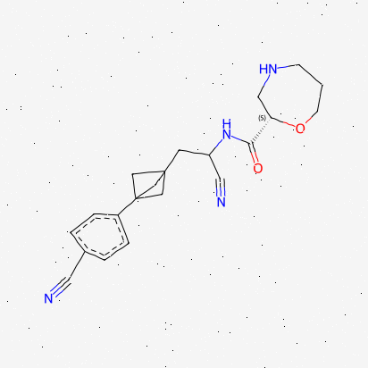 N#Cc1ccc(C23CC(CC(C#N)NC(=O)[C@@H]4CNCCCO4)(C2)C3)cc1